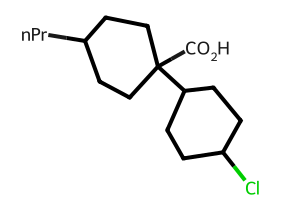 CCCC1CCC(C(=O)O)(C2CCC(Cl)CC2)CC1